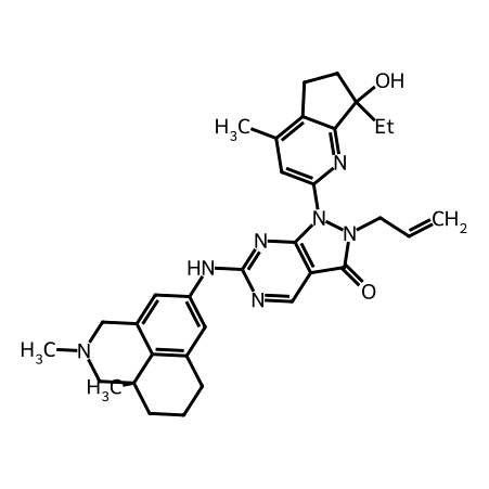 C=CCn1c(=O)c2cnc(Nc3cc4c5c(c3)CN(C)CC5(C)CCC4)nc2n1-c1cc(C)c2c(n1)C(O)(CC)CC2